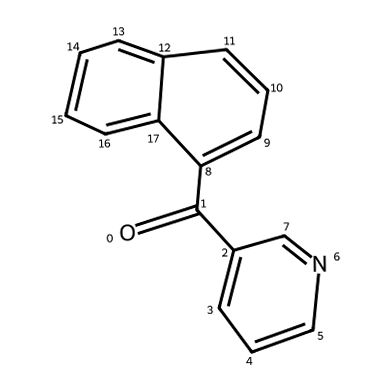 O=C(c1cccnc1)c1cccc2ccccc12